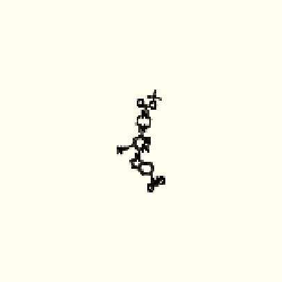 CC(C)(C)OC(=O)N1CCN(c2cc(C#N)c(-n3ccc4cc([N+](=O)[O-])ccc43)nn2)CC1